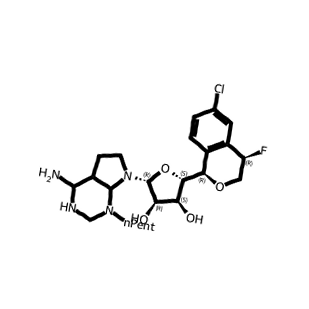 CCCCCN1CNC(N)C2CCN([C@@H]3O[C@H]([C@@H]4OC[C@H](F)c5cc(Cl)ccc54)[C@@H](O)[C@H]3O)C21